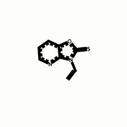 C=Cn1c(=S)oc2cccnc21